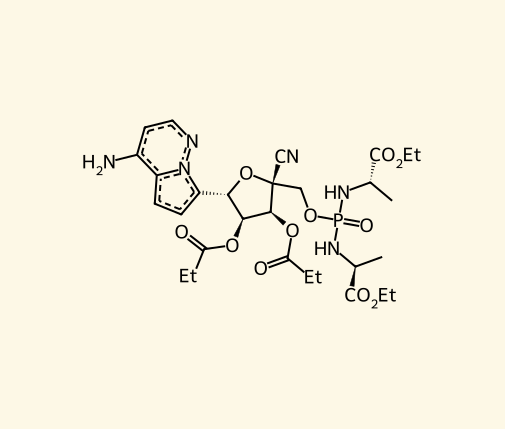 CCOC(=O)[C@H](C)NP(=O)(N[C@@H](C)C(=O)OCC)OC[C@@]1(C#N)O[C@@H](c2ccc3c(N)ccnn23)[C@H](OC(=O)CC)[C@@H]1OC(=O)CC